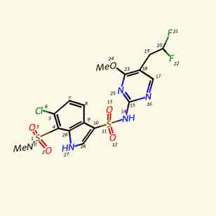 CNS(=O)(=O)c1c(Cl)ccc2c(S(=O)(=O)Nc3ncc(CC(F)F)c(OC)n3)c[nH]c12